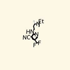 CCN(C)[C@@H](C)CCNc1ncc(C(F)F)cc1C#N